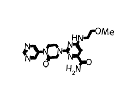 COCCNc1cc(C(N)=O)nc(N2CCN(c3cncnc3)C(=O)C2)n1